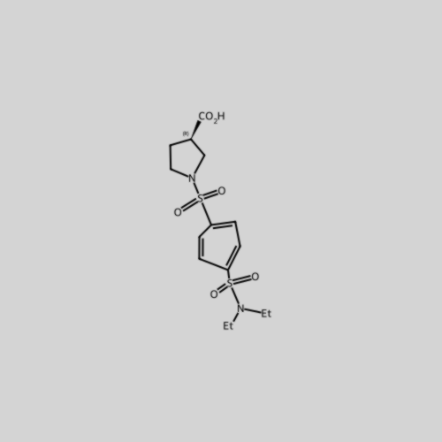 CCN(CC)S(=O)(=O)c1ccc(S(=O)(=O)N2CC[C@@H](C(=O)O)C2)cc1